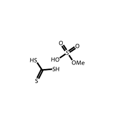 COS(=O)(=O)O.S=C(S)S